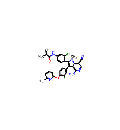 C=C(C)C(=O)Nc1ccc(-c2c(-c3ccc(Oc4cccc(C)n4)c(F)c3)c3c(N)ncc(C#N)c3n2C)c(Cl)c1